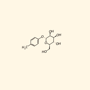 Cc1ccc(O[C@H]2O[C@H](CO)[C@@H](O)[C@H](O)[C@@H]2O)cc1